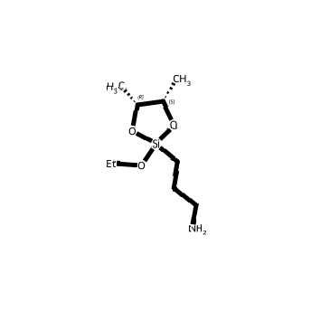 CCO[Si]1(CCCN)O[C@@H](C)[C@@H](C)O1